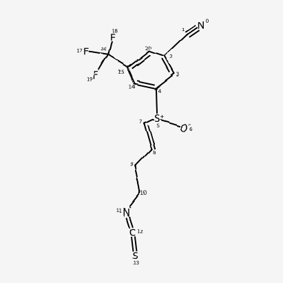 N#Cc1cc([S+]([O-])C=CCCN=C=S)cc(C(F)(F)F)c1